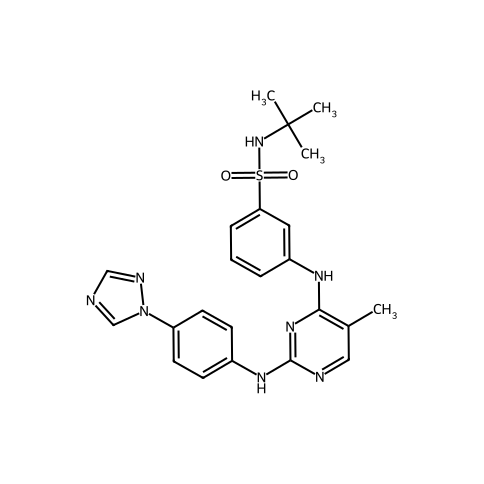 Cc1cnc(Nc2ccc(-n3cncn3)cc2)nc1Nc1cccc(S(=O)(=O)NC(C)(C)C)c1